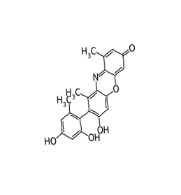 Cc1cc(=O)cc2oc3cc(O)c(-c4c(C)cc(O)cc4O)c(C)c3nc1-2